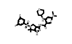 CN(C)c1ccc(C(=O)Nc2n[nH]c3c2CN(S(=O)(=O)c2cc(F)cc(F)c2)C3(C)C)c(NC2CCOCC2)c1